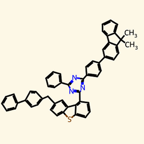 CC1(C)c2ccccc2-c2cc(-c3ccc(-c4nc(-c5ccccc5)nc(-c5cccc6sc7ccc(Cc8ccc(-c9ccccc9)cc8)cc7c56)n4)cc3)ccc21